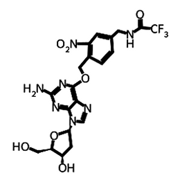 Nc1nc(OCc2ccc(CNC(=O)C(F)(F)F)cc2[N+](=O)[O-])c2ncn([C@H]3C[C@@H](O)[C@@H](CO)O3)c2n1